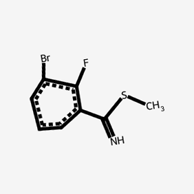 CSC(=N)c1cccc(Br)c1F